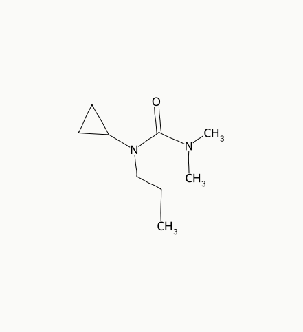 CCCN(C(=O)N(C)C)C1CC1